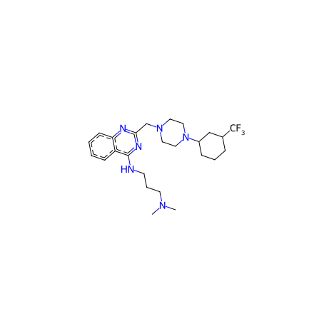 CN(C)CCCNc1nc(CN2CCN(C3CCCC(C(F)(F)F)C3)CC2)nc2ccccc12